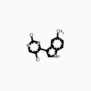 Cc1ccc2[nH]cc(-c3nc(Cl)ncc3Cl)c2c1